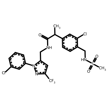 CC(C(=O)NCc1cc(C(F)(F)F)nn1-c1cccc(Cl)c1)c1ccc(CNS(C)(=O)=O)c(Cl)c1